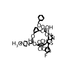 Cc1c(Cl)c2c(Cl)c(C)c1-c1c(-c3ccc(F)cc3)sc3ncnc(c13)O[C@@H](C(=O)O)Cc1cc(ccc1OCc1ccccc1)OC[C@@H](CN1CCN(C)CC1)O2